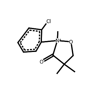 CC1(C)CO[N+](C)(c2ccccc2Cl)C1=O